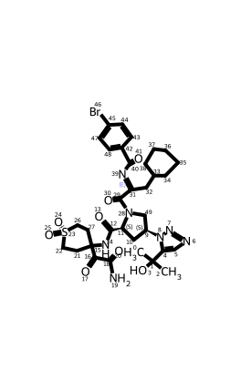 CC(C)(O)c1cnnn1[C@H]1C[C@@H](C(=O)NC2(C(=O)C(N)=O)CCS(=O)(=O)CC2)N(C(=O)/C(CC2CCCCC2)=N/C(=O)c2ccc(Br)cc2)C1